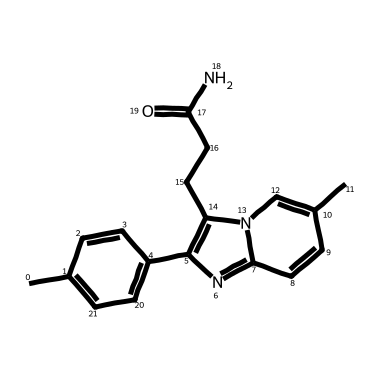 Cc1ccc(-c2nc3ccc(C)cn3c2CCC(N)=O)cc1